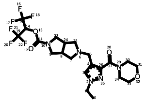 CCn1cc(CN2CC3CN(C(=O)OC(C(F)(F)F)C(F)(F)F)CC3C2)c(C(=O)N2CCOCC2)n1